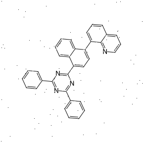 c1ccc(-c2nc(-c3ccccc3)nc(-c3ccc(-c4cccc5cccnc45)c4ccccc34)n2)cc1